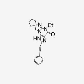 CCN1C(=O)c2nc(C#Cc3ccccc3)[nH]c2N2CC3(CCCC3)N=C12